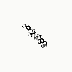 CCc1cc(CC)c([N+](=O)[O-])c(CC)c1NC(=O)Oc1cnn(-c2ccc(Cl)cc2)c1C(F)(F)F